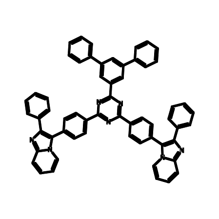 c1ccc(-c2cc(-c3ccccc3)cc(-c3nc(-c4ccc(-c5c(-c6ccccc6)nc6ccccn56)cc4)nc(-c4ccc(-c5c(-c6ccccc6)nc6ccccn56)cc4)n3)c2)cc1